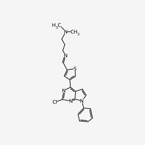 CN(C)CCC/N=C/c1cc(-c2nc(Cl)nc3c2ccn3-c2ccccc2)cs1